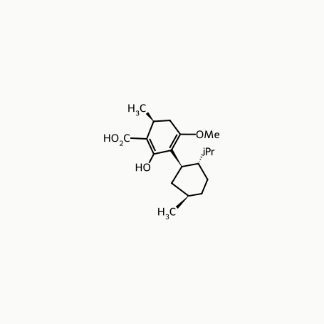 COC1=C([C@@H]2C[C@H](C)CC[C@H]2C(C)C)C(O)=C(C(=O)O)[C@@H](C)C1